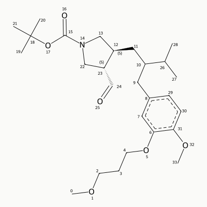 COCCCOc1cc(CC(C[C@@H]2CN(C(=O)OC(C)(C)C)C[C@H]2C=O)C(C)C)ccc1OC